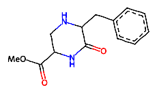 COC(=O)C1CNC(Cc2ccccc2)C(=O)N1